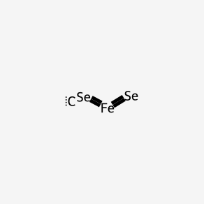 [C].[Se]=[Fe]=[Se]